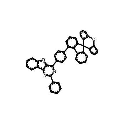 c1ccc(-c2nc(-c3ccc(-c4cccc5c4-c4ccccc4C54c5ccccc5Oc5ccccc54)cc3)c3oc4ccccc4c3n2)cc1